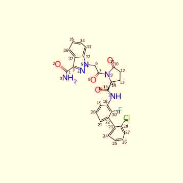 NC(=O)c1nn(CC(=O)N2C(=O)CC[C@H]2C(=O)Nc2cccc(-c3ccccc3Cl)c2F)c2ccccc12